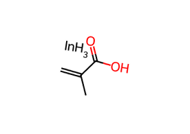 C=C(C)C(=O)O.[InH3]